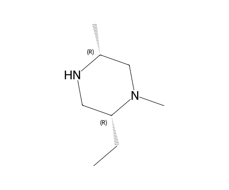 CC[C@@H]1CN[C@H](C)CN1C